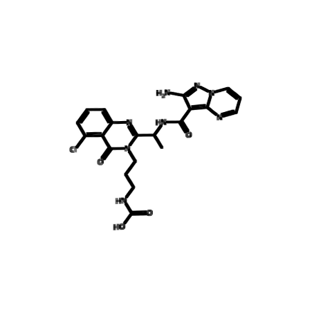 CC(NC(=O)c1c(N)nn2cccnc12)c1nc2cccc(Cl)c2c(=O)n1CCCNC(=O)O